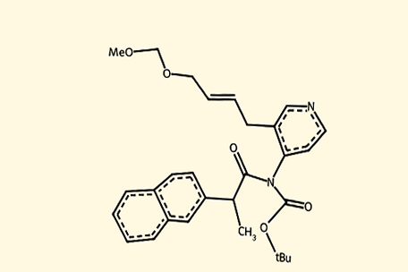 COCOCC=CCc1cnccc1N(C(=O)OC(C)(C)C)C(=O)C(C)c1ccc2ccccc2c1